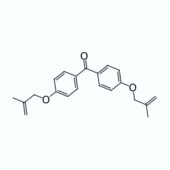 C=C(C)COc1ccc(C(=O)c2ccc(OCC(=C)C)cc2)cc1